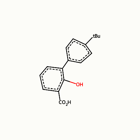 CC(C)(C)c1ccc(-c2cccc(C(=O)O)c2O)cc1